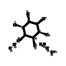 Cl[C@H]1[C@H](Cl)[C@@H](Cl)[C@@H](Cl)[C@H](Cl)[C@H]1Cl.O.[Cl-].[Cl-].[Cl-].[Cr+3]